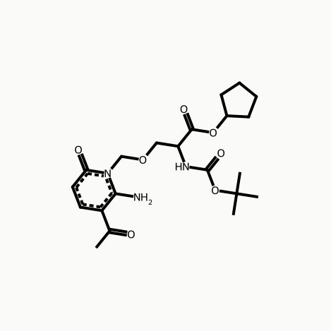 CC(=O)c1ccc(=O)n(COCC(NC(=O)OC(C)(C)C)C(=O)OC2CCCC2)c1N